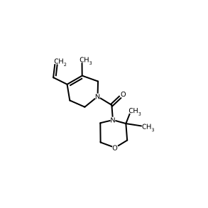 C=CC1=C(C)CN(C(=O)N2CCOCC2(C)C)CC1